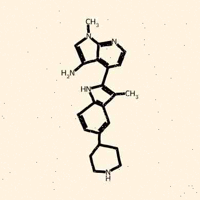 Cc1c(-c2ccnc3c2c(N)cn3C)[nH]c2ccc(C3CCNCC3)cc12